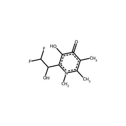 Cc1c(C)n(C)c(C(O)C(F)F)c(O)c1=O